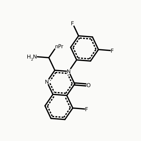 CCCC(N)c1nc2cccc(F)c2c(=O)n1-c1cc(F)cc(F)c1